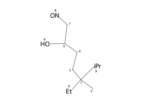 CCC(C)(CCC(O)CN=O)C(C)C